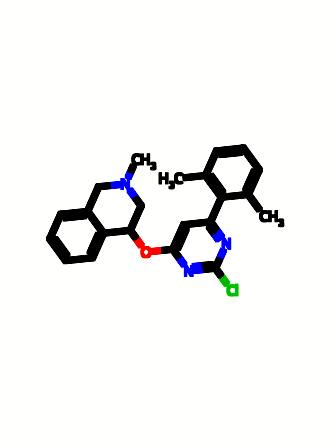 Cc1cccc(C)c1-c1cc(OC2CN(C)Cc3ccccc32)nc(Cl)n1